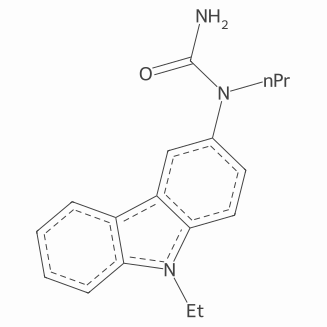 CCCN(C(N)=O)c1ccc2c(c1)c1ccccc1n2CC